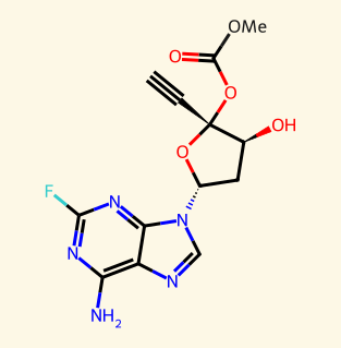 C#C[C@]1(OC(=O)OC)O[C@@H](n2cnc3c(N)nc(F)nc32)C[C@@H]1O